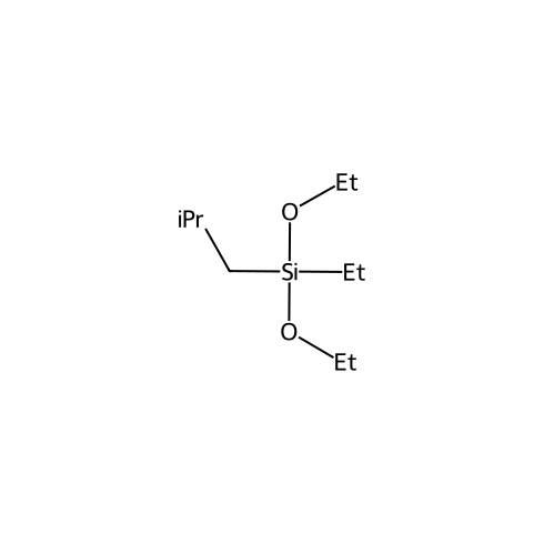 CCO[Si](CC)(CC(C)C)OCC